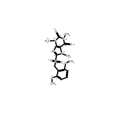 COc1cccc(OC)c1CS(=O)(=O)c1nc2c(c(=O)n(C)c(=O)n2C)n1C